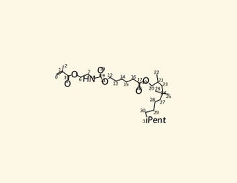 C=C(C)C(=O)OCCNC(=O)OCCCCCC(=O)OCC(C)CC(C)(C)CCCCC(C)CCC